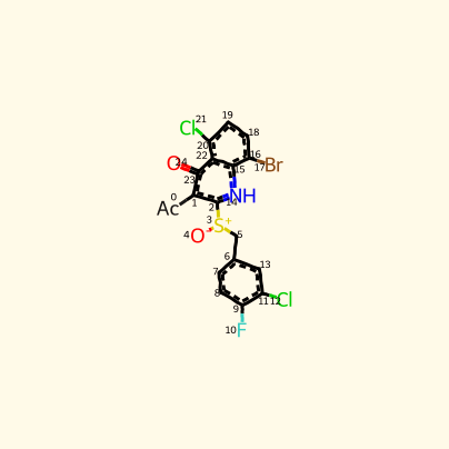 CC(=O)c1c([S+]([O-])Cc2ccc(F)c(Cl)c2)[nH]c2c(Br)ccc(Cl)c2c1=O